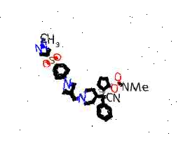 CNC(=O)O[C@@H]1CCC[C@H]1C(C#N)(c1ccccc1)C1CCN(CC2CN(c3ccc(S(=O)(=O)c4cnn(C)c4)cc3)C2)CC1